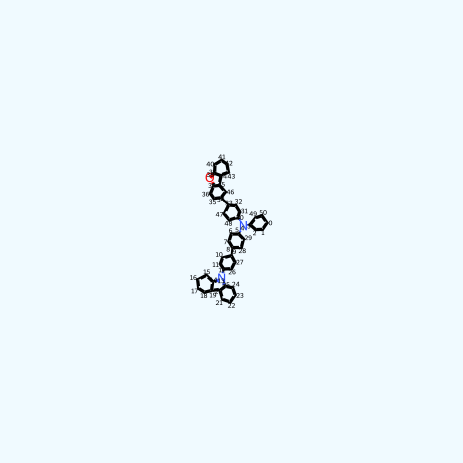 c1ccc(N(c2ccc(-c3ccc(-n4c5ccccc5c5ccccc54)cc3)cc2)c2ccc(-c3ccc4oc5ccccc5c4c3)cc2)cc1